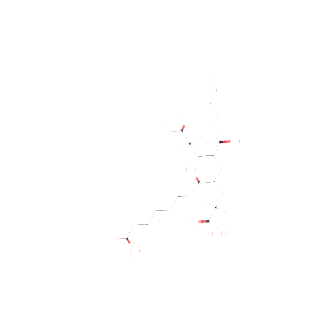 CCCCOC(=O)C(CC(CC(C)(C)C(=O)O)C(=O)OCCCCCC(=O)O)CC(C)(C)C(=O)OC